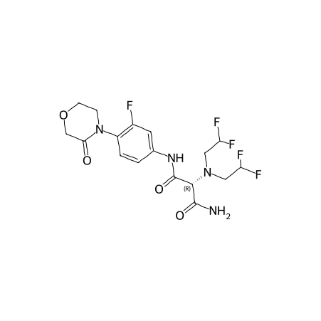 NC(=O)[C@H](C(=O)Nc1ccc(N2CCOCC2=O)c(F)c1)N(CC(F)F)CC(F)F